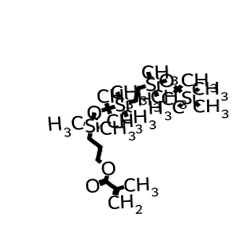 C=C(C)C(=O)OCCC[Si](C)(C)OC(C)(C)[Si](C)(C)CC[Si](C)(C)OC(C)(C)[Si](C)(C)C